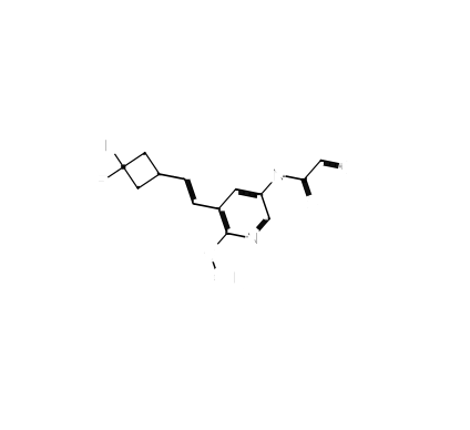 C=CC(=O)Nc1cnc(OC)c(C=CC2CC(F)(F)C2)c1